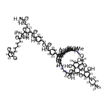 CO[C@H]1/C=C/O[C@@]2(C)Oc3c(C)c(O)c4c(=O)c(c5oc6cc(N7CCC(N(C)C)CC7)cc(O)c6nc-5c4c3C2=O)NC(=O)/C(C)=C\C=C\[C@H](C)[C@@H]2OC(c3ccc(NC(=O)OCc4ccc(NC(=O)[C@H](CCCNC(N)=O)NC(=O)[C@@H](NC(=O)CCCCCN5C(=O)C=CC5=O)C(C)C)cc4)cc3)O[C@@H]([C@@H](C)[C@H](OC(C)=O)[C@@H]1C)[C@@H]2C